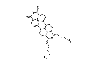 CCCCOC(=O)c1ccc2c3ccc4c5c(ccc(c6ccc(OCCCC)c1c62)c53)C(=O)OC4=O